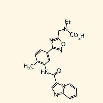 CCN(Cc1nc(-c2ccc(C)c(NC(=O)c3cnc4ccccn34)c2)no1)C(=O)O